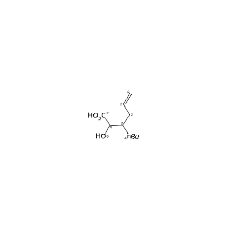 C=CCC(CCCC)C(O)C(=O)O